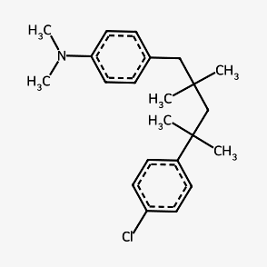 CN(C)c1ccc(CC(C)(C)CC(C)(C)c2ccc(Cl)cc2)cc1